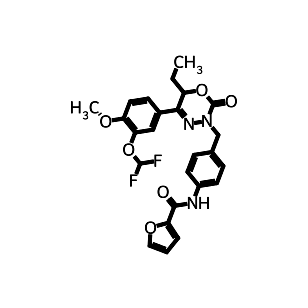 CCC1OC(=O)N(Cc2ccc(NC(=O)c3ccco3)cc2)N=C1c1ccc(OC)c(OC(F)F)c1